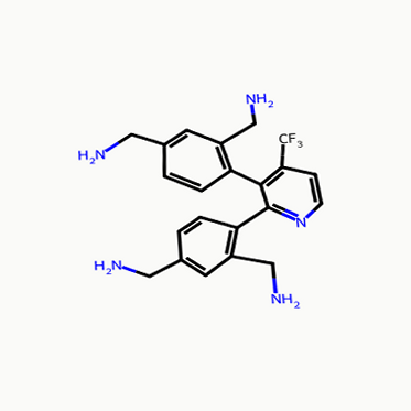 NCc1ccc(-c2nccc(C(F)(F)F)c2-c2ccc(CN)cc2CN)c(CN)c1